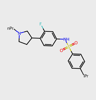 CCCN1CCC(c2ccc(NS(=O)(=O)c3ccc(C(C)C)cc3)cc2F)C1